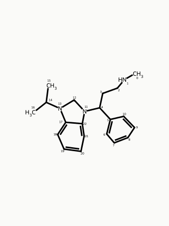 CNCCC(c1ccccc1)N1[CH]N(C(C)C)c2ccccc21